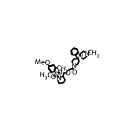 COc1cc(C)c(S(=O)(=O)N2CCCCC2COCC(=O)N2CCC(c3ccccc3)(N3CCN(C)CC3)CC2)c(C)c1